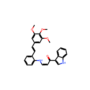 COc1cc(/C=C/c2ccccc2N/C=C\C(=O)c2c[nH]c3ccccc23)cc(OC)c1OC